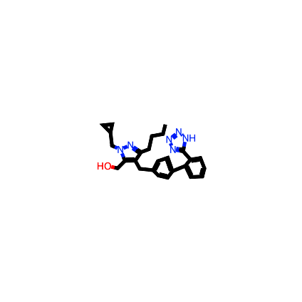 CCCCc1nn(CC2CC2)c(CO)c1Cc1ccc(-c2ccccc2-c2nnn[nH]2)cc1